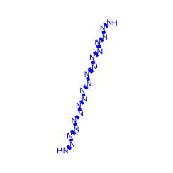 N=N/N=N/N=N/N=N/N=N/N=N/N=N/N=N/N=N